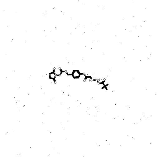 CC(C)(C)C(=O)ONNCC(=O)Oc1ccc(COC(=O)ON2C(=O)CCC2=O)cc1